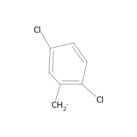 [CH2]c1cc(Cl)ccc1Cl